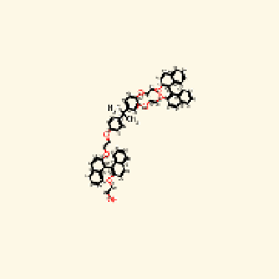 CC(C)(c1ccc(OCCOc2ccc3ccccc3c2-c2c(OCCO)ccc3ccccc23)cc1)c1ccc(OCCOc2ccc3ccccc3c2-c2c(OCCO)ccc3ccccc23)cc1